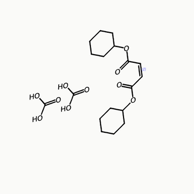 O=C(/C=C\C(=O)OC1CCCCC1)OC1CCCCC1.O=C(O)O.O=C(O)O